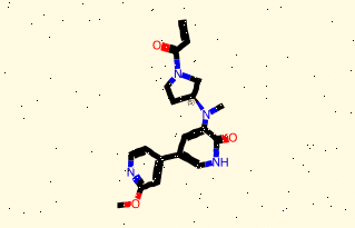 C=CC(=O)N1CC[C@H](N(C)c2cc(-c3ccnc(OC)c3)c[nH]c2=O)C1